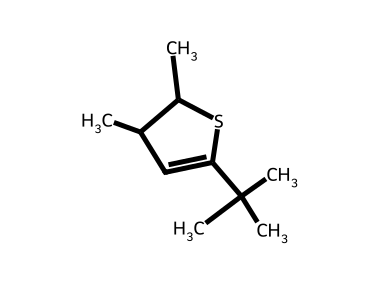 CC1C=C(C(C)(C)C)SC1C